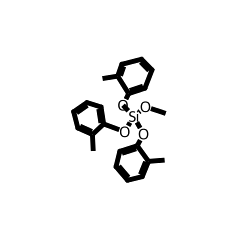 CO[Si](Oc1ccccc1C)(Oc1ccccc1C)Oc1ccccc1C